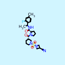 Cc1ccc(C(C)NC(=O)[C@H]2CCCN2C(=O)[C@H]2CCCN(S(=O)(=O)N3CC(C#N)C3)C2)c(F)c1